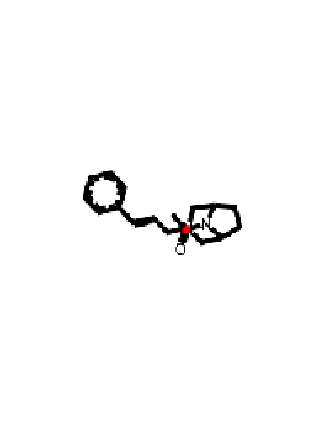 CC(=O)N1C2CCC1CN(CC=Cc1ccccc1)C2